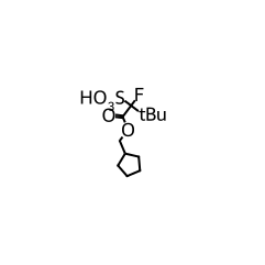 CC(C)(C)C(F)(C(=O)OCC1CCCC1)S(=O)(=O)O